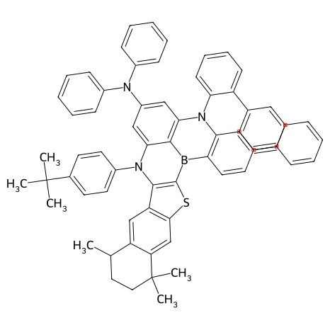 CC1CCC(C)(C)c2cc3sc4c(c3cc21)N(c1ccc(C(C)(C)C)cc1)c1cc(N(c2ccccc2)c2ccccc2)cc2c1B4c1ccc(C3C=CC=CC3)cc1N2c1ccccc1-c1cc#ccc1